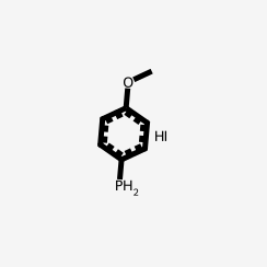 COc1ccc(P)cc1.I